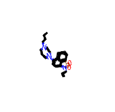 CCCCN1CCCN(c2ccc3c4c(cccc24)S(=O)(=O)N3CCC)CC1